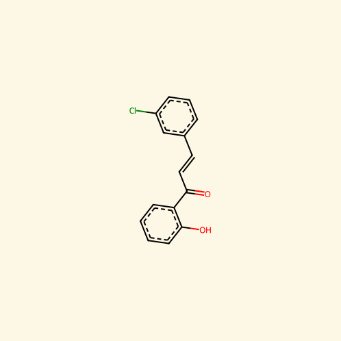 O=C(C=Cc1cccc(Cl)c1)c1ccccc1O